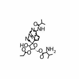 CCC(=O)O[C@H]1[C@@H](O)[C@](C#N)(c2ccc3c(NC(=O)C(C)C)ncnn23)O[C@@H]1COC(=O)C(N)C(C)C